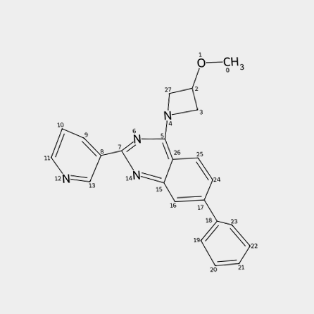 COC1CN(c2nc(-c3cccnc3)nc3cc(-c4ccccc4)ccc23)C1